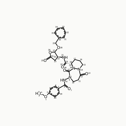 COc1ccc(C(=O)NN2CCC(=O)N3CCC[C@@H](C(=O)N[C@H]4CC(=O)OC4OCc4ccccc4)N3C2=O)cc1